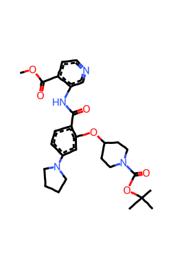 COC(=O)c1ccncc1NC(=O)c1ccc(N2CCCC2)cc1OC1CCN(C(=O)OC(C)(C)C)CC1